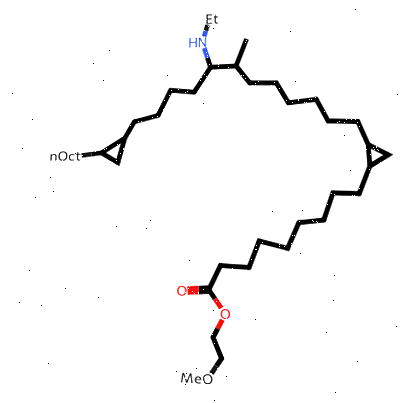 CCCCCCCCC1CC1CCCCC(NCC)C(C)CCCCCCC1CC1CCCCCCCCC(=O)OCCOC